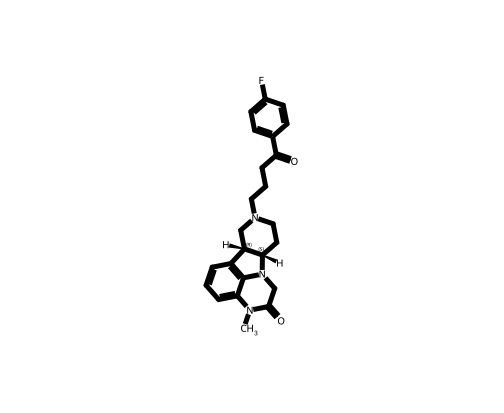 CN1C(=O)CN2c3c(cccc31)[C@@H]1CN(CCCC(=O)c3ccc(F)cc3)CC[C@@H]12